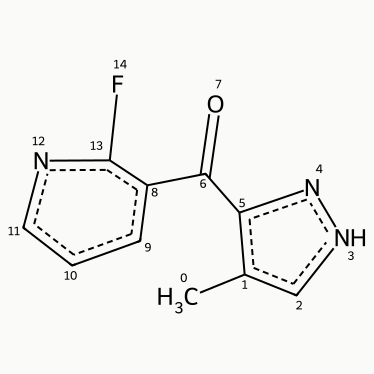 Cc1c[nH]nc1C(=O)c1cccnc1F